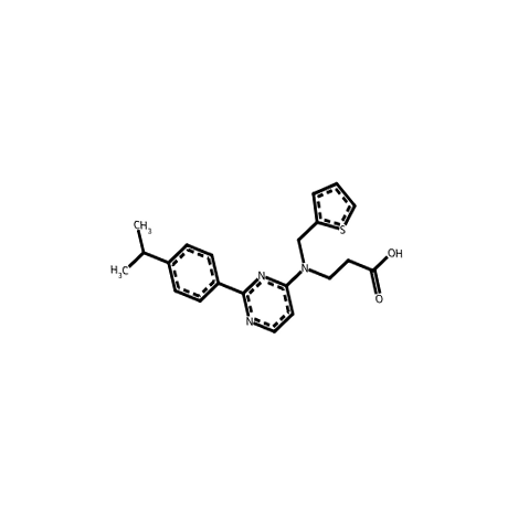 CC(C)c1ccc(-c2nccc(N(CCC(=O)O)Cc3cccs3)n2)cc1